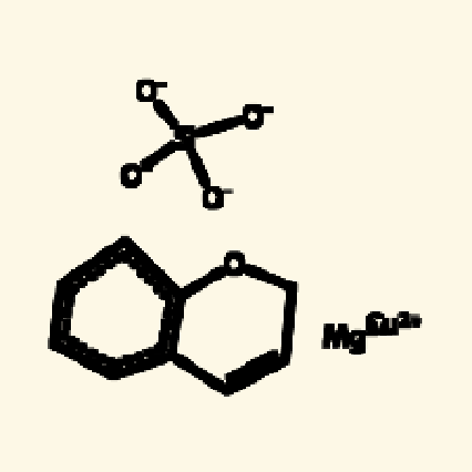 C1=Cc2ccccc2OC1.[Cu+2].[Mg+2].[O-][Si]([O-])([O-])[O-]